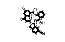 Cc1cc([C@@H](C)Nc2ccccc2C(=O)O)c2oc(N3Cc4ccc(C#N)cc4C3)cc(=O)c2c1